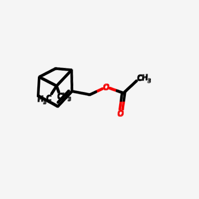 CC(=O)OCC1=CCC2CC1C2(C)C